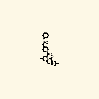 CC(C)C[C@@H]1NCCN([C@@H](CC(C)C)C(=O)N2CCC(CC(=O)OC3CCCCC3)CC2)C1=O